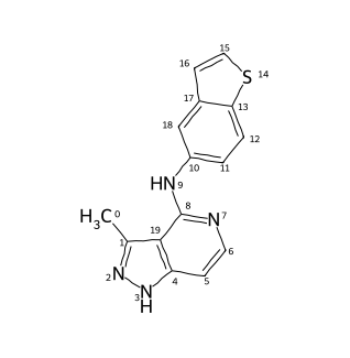 Cc1n[nH]c2ccnc(Nc3ccc4sccc4c3)c12